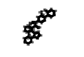 O=C(Nc1ccc(-c2ccccc2F)c(F)c1)C1=C(c2ccnn2C2CCOCC2)[C@H]2CC[C@@H]1O2